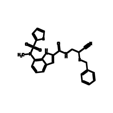 CN(c1cccc2cc(C(=O)NCC(C#N)SCc3ccccc3)[nH]c12)S(=O)(=O)c1cccs1